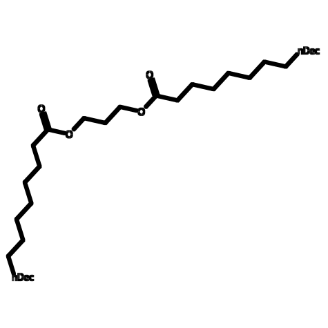 CCCCCCCCCCCCCCCCCC(=O)OCCCOC(=O)CCCCCCCCCCCCCCCCC